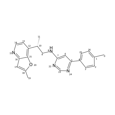 Cc1ccc(-c2cc(NC[C@@H](C)c3ccnc4cc(C)oc34)ncn2)cc1